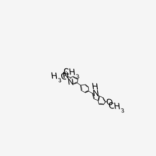 COc1ccc2cc(-c3ccc(-c4ccc(N(C)C)nc4)cc3)[nH]c2c1